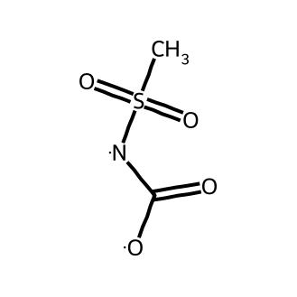 CS(=O)(=O)[N]C([O])=O